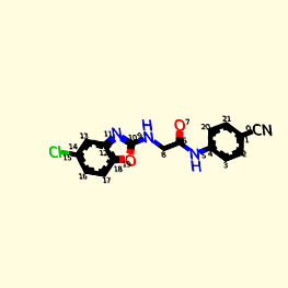 N#Cc1ccc(NC(=O)CNc2nc3cc(Cl)ccc3o2)cc1